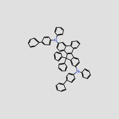 c1ccc(-c2ccc(N(c3ccccc3)c3ccc4c(c3)C(c3ccccc3)(c3ccccc3)c3c-4c4ccccc4c4cc(N(c5ccccc5)c5ccc(-c6ccccc6)cc5)ccc34)cc2)cc1